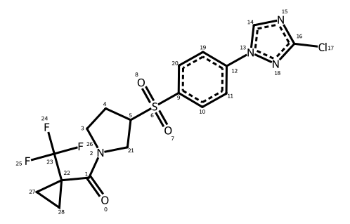 O=C(N1CCC(S(=O)(=O)c2ccc(-n3cnc(Cl)n3)cc2)C1)C1(C(F)(F)F)CC1